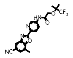 Cc1cc(C#N)cc2nc(-c3ccc(NC(=O)COC(C)(C)C(F)(F)F)cn3)oc12